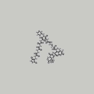 CC[C@@]1(O)C(=O)OCc2c1cc1n(c2=S)Cc2c-1nc1cc(F)c(C)c3c1c2C(NC(=O)COCNC(=O)CNC(=O)C(Cc1ccccc1)NC(=O)CNC(=O)CNC(=O)CCNC(=O)CCN1C(=O)C=CC1=O)CC3